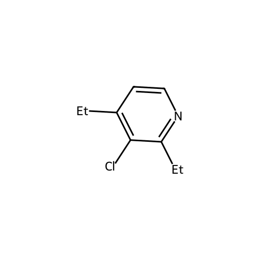 CCc1ccnc(CC)c1Cl